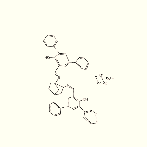 CC(=O)[O-].CC(=O)[O-].Oc1c(C=NC2CC3CCC2(N=Cc2cc(-c4ccccc4)cc(-c4ccccc4)c2O)C3)cc(-c2ccccc2)cc1-c1ccccc1.[Co+2]